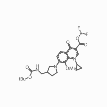 COc1c(N2CCC(CNC(=O)OC(C)(C)C)C2)ccc2c(=O)c(C(=O)OB(F)F)cn(C3CC3)c12